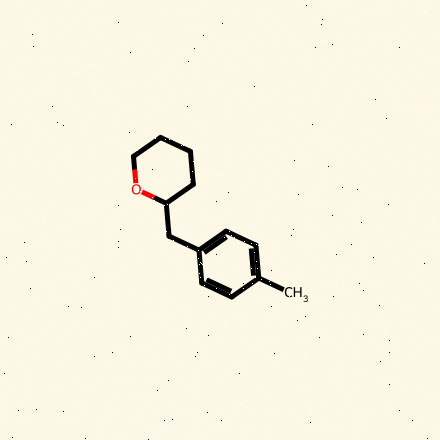 Cc1ccc(CC2CCCCO2)cc1